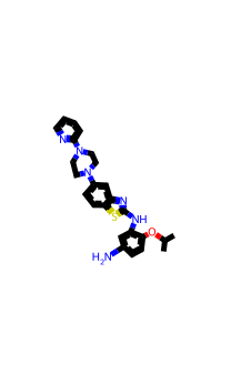 CC(C)Oc1ccc(N)cc1Nc1nc2cc(N3CCN(c4ccccn4)CC3)ccc2s1